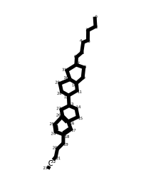 CCCCCCCC1CCC2CC(C3CCc4cc(CCCCC)ccc4C3)CCC2C1